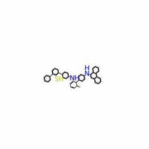 CC1C=CC=C(Nc2ccc(-c3cccc(-c4ccccc4)c3S)cc2)C1c1ccc(Nc2cc3ccccc3c3ccccc23)cc1